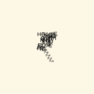 CCCCCCCCCOc1ccc(-c2noc(C3[C@@H](O)CCN3/C(=N/C(=O)OC(C)(C)C)NC(=O)OC(C)(C)C)n2)cc1C(F)(F)F